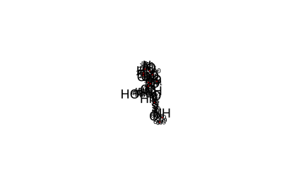 CC[C@H](C)[C@H](NC(=O)C1CCCCN1C)C(=O)N(COC(=O)CC(C)C)[C@H](C[C@@H](OC(C)=O)c1nc(C(=O)N[C@@H](CCc2ccc(O)cc2)C[C@H](C)C(=O)NCCSSCCNC(=O)C2CCCCCCC2)cs1)C(C)C